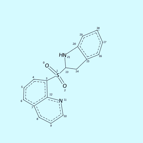 O=S(=O)(c1cccc2cccnc12)C1Cc2cc[c]cc2N1